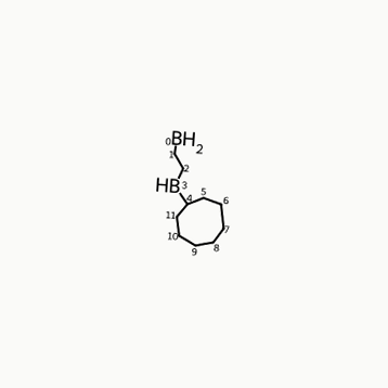 BCCBC1CCCCCCC1